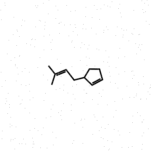 CC(C)=CC[C]1C=CCC1